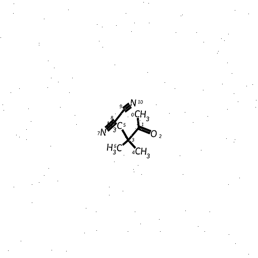 CC(=O)C(C)(C)C.N#CC#N